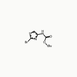 CC(C)(C)OC(=O)Nc1csc(Br)n1